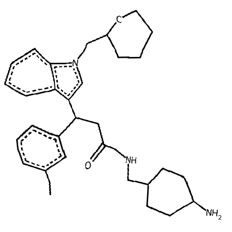 Cc1cccc(C(CC(=O)NCC2CCC(N)CC2)c2cn(CC3CCCCC3)c3ccccc23)c1